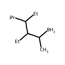 BC(C)C(CC)C(CC)C(C)C